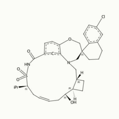 CC(C)[C@@H]1CC=CC[C@H](O)[C@@H]2CC[C@H]2CN2C[C@@]3(CCCc4cc(Cl)ccc43)COc3ccc(cc32)C(=O)NS1(=O)=O